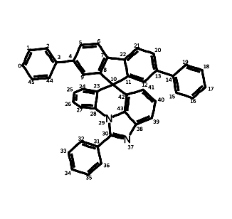 c1ccc(-c2ccc3c(c2)C2(c4cc(-c5ccccc5)ccc4-3)c3ccccc3-n3c(-c4ccccc4)nc4cccc2c43)cc1